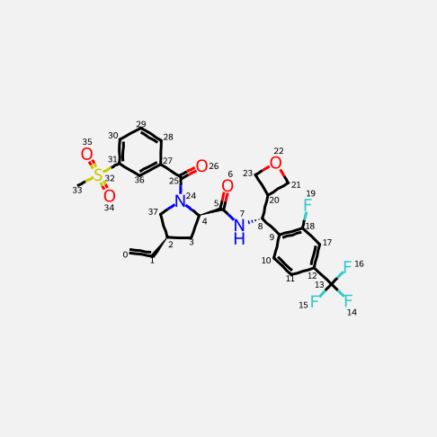 C=C[C@@H]1C[C@H](C(=O)N[C@@H](c2ccc(C(F)(F)F)cc2F)C2COC2)N(C(=O)c2cccc(S(C)(=O)=O)c2)C1